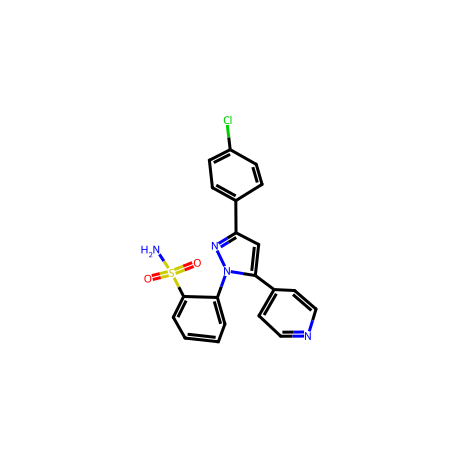 NS(=O)(=O)c1ccccc1-n1nc(-c2ccc(Cl)cc2)cc1-c1ccncc1